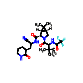 CC(C)(C)C(NC(=O)C(F)(F)F)C(=O)N1C[C@H]2[C@@H]([C@H]1C(=O)NC(C#N)C[C@@H]1CCCNC1=O)C2(C)C